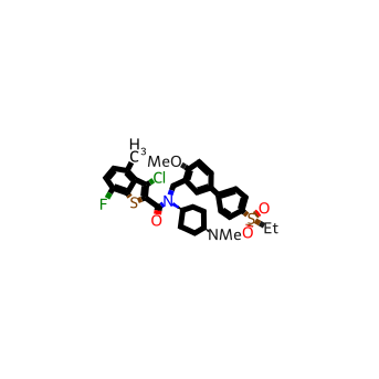 CCS(=O)(=O)c1ccc(-c2ccc(OC)c(CN(C(=O)c3sc4c(F)ccc(C)c4c3Cl)[C@H]3CC[C@H](NC)CC3)c2)cc1